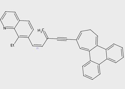 C=C(C#CC1=CCC=c2c(c3ccccc3c3ccccc23)=C1)/C=C\c1ccc2cccnc2c1CC